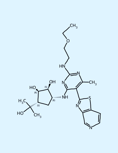 CCOCCNc1nc(C)c(-c2nc3cnccc3s2)c(N[C@@H]2C[C@H](C(C)(C)O)[C@@H](O)[C@H]2O)n1